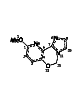 COc1ccc2c(n1)-c1nccn1CO2